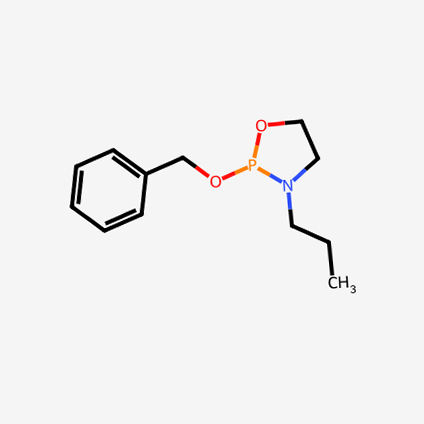 CCCN1CCOP1OCc1ccccc1